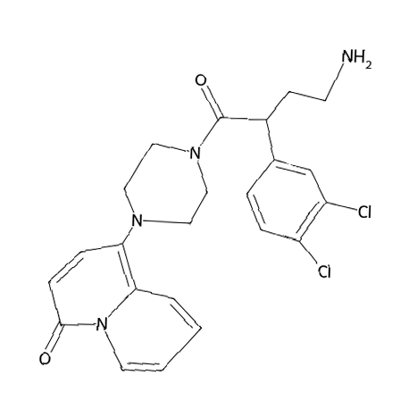 NCCC(C(=O)N1CCN(c2ccc(=O)n3ccccc23)CC1)c1ccc(Cl)c(Cl)c1